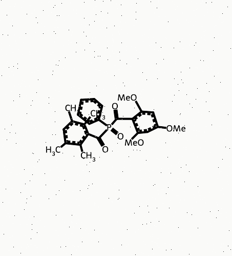 COc1cc(OC)c(C(=O)P(=O)(C(=O)c2c(C)c(C)cc(C)c2C)c2ccccc2)c(OC)c1